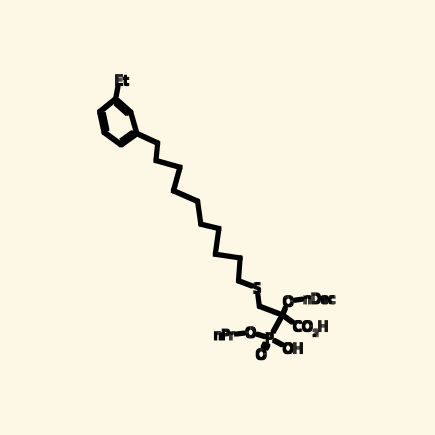 CCCCCCCCCCOC(CSCCCCCCCCCCc1cccc(CC)c1)(C(=O)O)P(=O)(O)OCCC